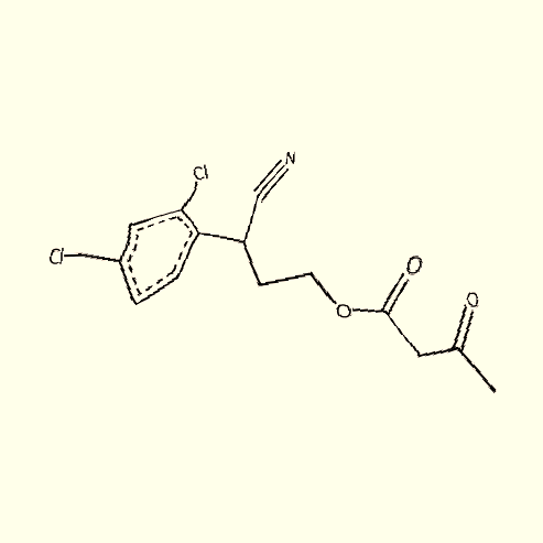 CC(=O)CC(=O)OCCC(C#N)c1ccc(Cl)cc1Cl